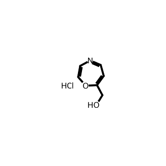 Cl.OCC1=CC=NC=CO1